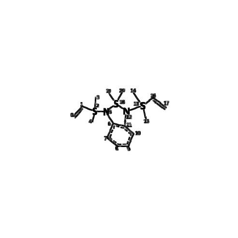 C=CS(C)(C)N1c2ccccc2N(S(C)(C)C=C)S1(C)C